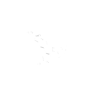 CC(C)(C)OC(=O)Nc1cnc(Cl)cc1-c1ccn2nc(N)cc2c1